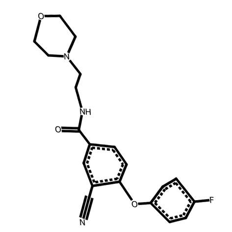 N#Cc1cc(C(=O)NCCN2CCOCC2)ccc1Oc1ccc(F)cc1